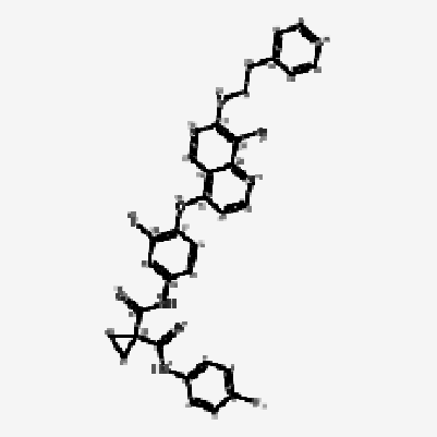 O=C(Nc1ccc(F)cc1)C1(C(=O)Nc2ccc(Oc3ccnc4c(Br)c(OCCc5ccncc5)ncc34)c(F)c2)CC1